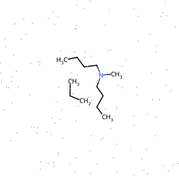 CCCCN(C)CCCC.[CH2]CC